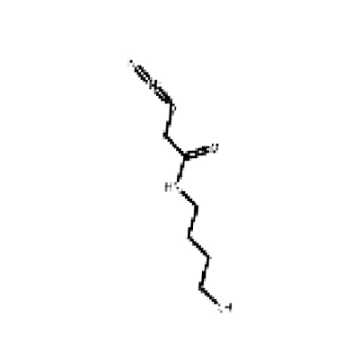 CCCCCNC(=O)CN=[N+]=[N-]